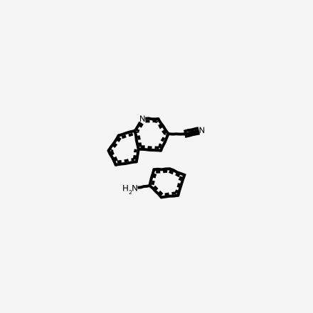 N#Cc1cnc2ccccc2c1.Nc1ccccc1